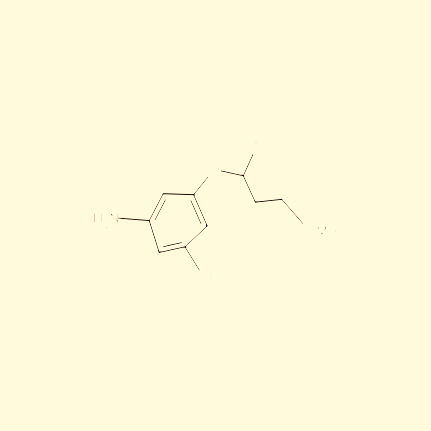 CCC(CCOC)Oc1cc(C)cc(N)c1